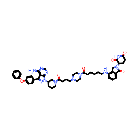 Nc1ncnc2c1c(-c1ccc(Oc3ccccc3)cc1)nn2[C@@H]1CCCN(C(=O)CCCN2CCN(C(=O)CCCCCNc3cccc4c3CN(C3CCC(=O)NC3=O)C4=O)CC2)C1